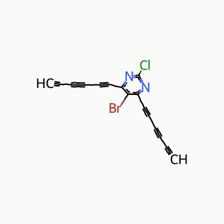 C#CC#CC#Cc1nc(Cl)nc(C#CC#CC#C)c1Br